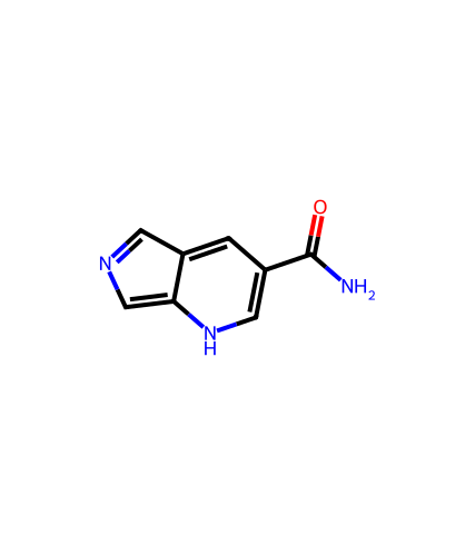 NC(=O)c1c[nH]c2cncc-2c1